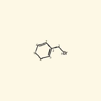 BrCC1=CC[CH]C=C1